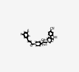 N#Cc1ccc2c(c1)NCC21CCN(C[C@@H](O)C2(O)CCN(C(=O)/C=C/c3cc(F)cc(F)c3)CC2)CC1